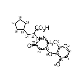 Cc1occc(=O)c1Oc1cnn(C(CC2CCCC2)C(=O)O)c(=O)c1